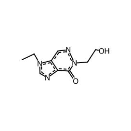 CCn1cnc2c(=O)n(CCO)ncc21